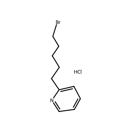 BrCCCCCc1ccccn1.Cl